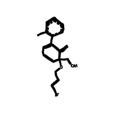 Cc1ccccc1C1=CC=CC(CO)(OCCCBr)C1C